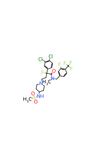 CN(Cc1ccc(C(F)(F)F)c(F)c1)C(=O)C(F)(CCN1CCC(NS(C)(=O)=O)CC1)c1ccc(Cl)c(Cl)c1